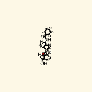 O=C(Nc1ncnc2c1ncn2[C@H]1COC2(CO)CO[C@H]1C2O)c1ccccc1